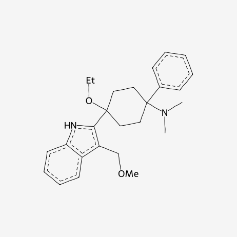 CCOC1(c2[nH]c3ccccc3c2COC)CCC(c2ccccc2)(N(C)C)CC1